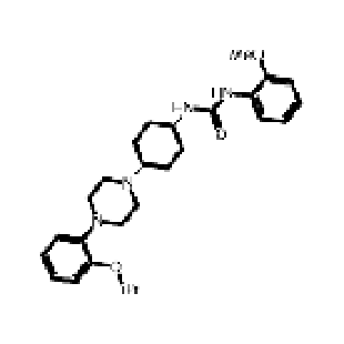 COc1ccccc1NC(=O)N[C@H]1CC[C@@H](N2CCN(c3ccccc3OC(C)C)CC2)CC1